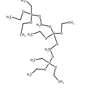 CCO[Si](CC)(OCC)O[SiH2]O[Si](OCC)(OCC)O[SiH2]O[Si](CC)(OCC)OCC